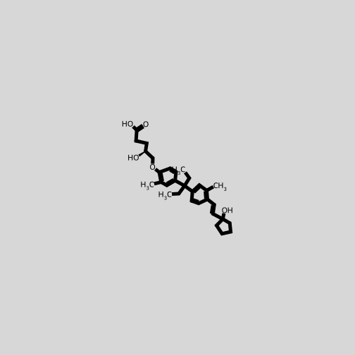 CCC(CC)(c1ccc(/C=C/C2(O)CCCC2)c(C)c1)c1ccc(OC[C@@H](O)CCC(=O)O)c(C)c1